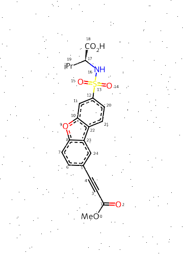 COC(=O)C#Cc1ccc2oc3cc(S(=O)(=O)N[C@H](C(=O)O)C(C)C)ccc3c2c1